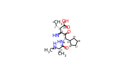 CC[C@@H](C(=N)C(=O)[C@@H](NC(=O)[C@H](C)NC)C1CCCC1)C(=O)O